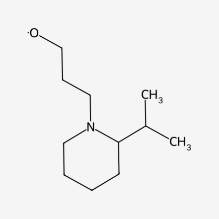 CC(C)C1CCCCN1CCC[O]